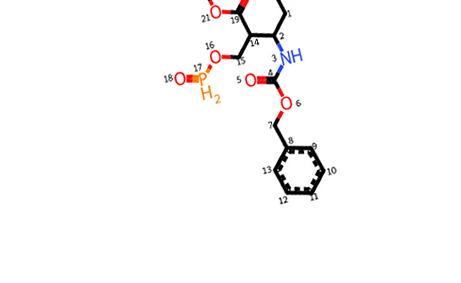 CCC(NC(=O)OCc1ccccc1)C(CO[PH2]=O)C(=O)OC